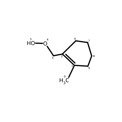 CC1=C(COO)CCCC1